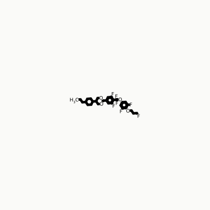 CCCC1CCC(C2COC(c3cc(F)c(C(F)(F)Oc4cc(F)c(OCCCF)c(F)c4)c(F)c3)OC2)CC1